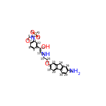 CS(=O)(=O)N1COc2ccc(C(O)CNCCOc3ccc4c(c3)Cc3cc(N)ccc3-4)cc21